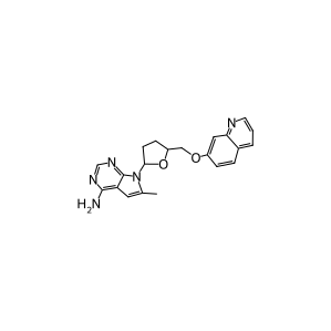 Cc1cc2c(N)ncnc2n1C1CCC(COc2ccc3cccnc3c2)O1